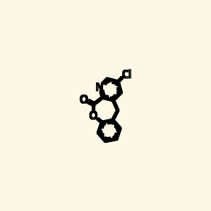 O=C1Oc2ccccc2Cc2cc(Cl)cnc21